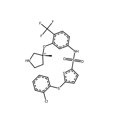 C[C@@]1(Oc2cc(NS(=O)(=O)c3ccc(Sc4ccccc4Cl)s3)ccc2C(F)(F)F)CCNC1